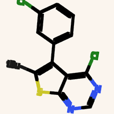 CC(C)(C)c1sc2ncnc(Cl)c2c1-c1cccc(Cl)c1